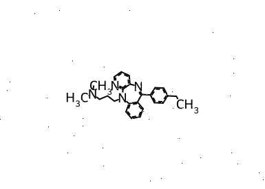 CCc1ccc(C2=Nc3cccnc3N(CCCN(C)C)c3ccccc32)cc1